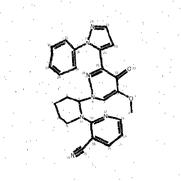 COc1cn(C2CCCCN2c2ncccc2C#N)nc(-c2ccnn2-c2ccccc2)c1=O